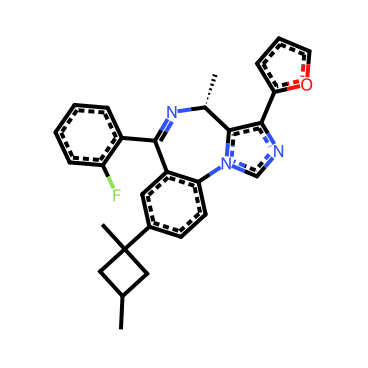 CC1CC(C)(c2ccc3c(c2)C(c2ccccc2F)=N[C@H](C)c2c(-c4ccco4)ncn2-3)C1